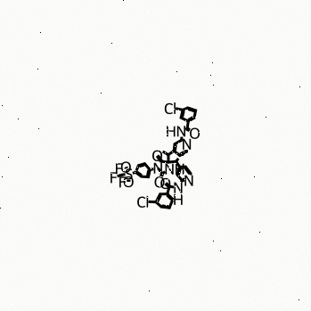 CC(c1ccnc(NC(=O)c2cccc(Cl)c2)c1)C1(C(C)c2ccnc(NC(=O)c3cccc(Cl)c3)c2)NC(=O)N(c2ccc(S(=O)(=O)C(F)(F)F)cc2)C1=O